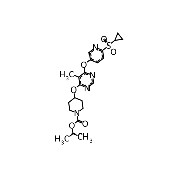 Cc1c(Oc2ccc(S(=O)(=O)C3CC3)nc2)ncnc1OC1CCN(C(=O)OC(C)C)CC1